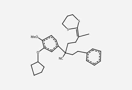 COc1ccc(C(C#N)(CCC(C)=C2SCCCS2)CCc2ccccc2)cc1OC1CCCC1